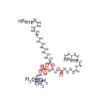 CCCCC/C=C\C/C=C\C/C=C\C/C=C\CCCC(=O)OC[C@H](COP(=O)([O-])OCC[N+](C)(C)C)OC(=O)CCCCCCCCCCC/C=C\C/C=C\CCCCC